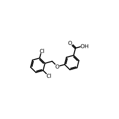 O=C(O)c1cccc(OCc2c(Cl)cccc2Cl)c1